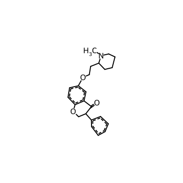 CN1CCCCC1CCOc1ccc2c(c1)C(=O)C(c1ccccc1)CO2